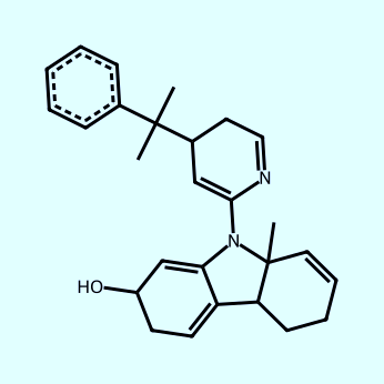 CC(C)(c1ccccc1)C1C=C(N2C3=CC(O)CC=C3C3CCC=CC32C)N=CC1